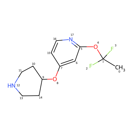 CC(F)(F)Oc1cc(OC2CCNCC2)ccn1